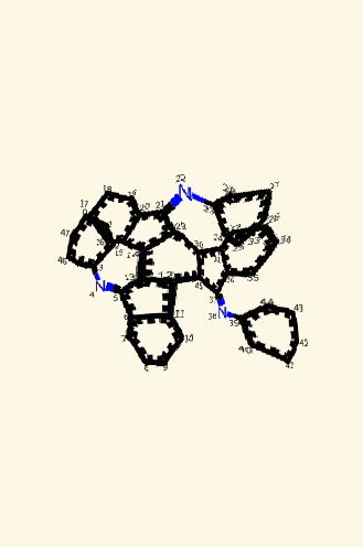 c1ccc(/N=c2/c3ccccc3c3c2c2c4ccccc4/c(=N/c4ccccc4)c2c2c4ccccc4/c(=N\c4ccccc4)c32)cc1